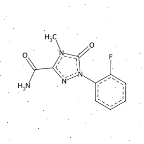 Cn1c(C(N)=O)nn(-c2ccccc2F)c1=O